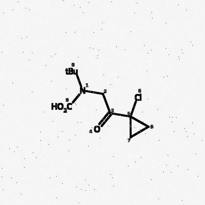 CC(C)(C)N(CC(=O)C1(Cl)CC1)C(=O)O